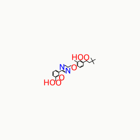 COc1c(C(=O)O)cccc1-c1cnc(COc2ccc(C(=O)CC(C)(C)C)c(O)c2C)cn1